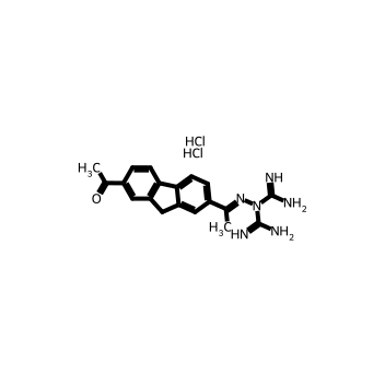 CC(=O)c1ccc2c(c1)Cc1cc(C(C)=NN(C(=N)N)C(=N)N)ccc1-2.Cl.Cl